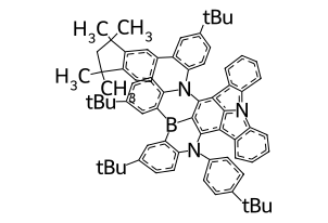 CC(C)(C)c1ccc(N2c3ccc(C(C)(C)C)cc3B3c4cc(C(C)(C)C)ccc4N(c4ccc(C(C)(C)C)cc4-c4ccc5c(c4)C(C)(C)CC5(C)C)c4c3c2c2c3ccccc3n3c5ccccc5c4c23)cc1